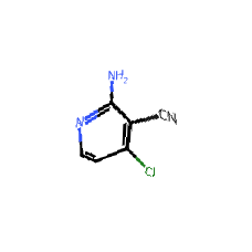 N#Cc1c(Cl)ccnc1N